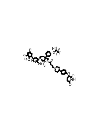 Nc1nnc(-c2cc(F)cc(F)c2O)cc1N1CCC(CNC(=O)CCCN2CCC(c3ccc(OC4CCC(=O)NC4=O)cc3)CC2)(c2ccccc2)CC1.O=C(O)C(F)(F)F